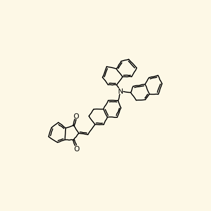 O=C1C(=CC2=Cc3ccc(N(c4cccc5ccccc45)C4C=c5ccccc5=CC4)cc3CC2)C(=O)c2ccccc21